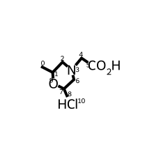 CC1CN(CC(=O)O)CC(C)O1.Cl